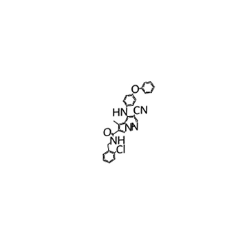 Cc1c(C(=O)NCc2ccccc2Cl)cn2ncc(C#N)c(Nc3ccc(Oc4ccccc4)cc3)c12